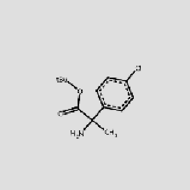 CC(C)(C)OC(=O)C(C)(N)c1ccc(Cl)cc1